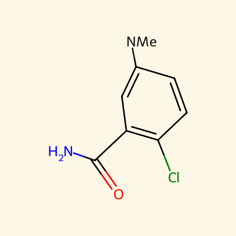 CNc1ccc(Cl)c(C(N)=O)c1